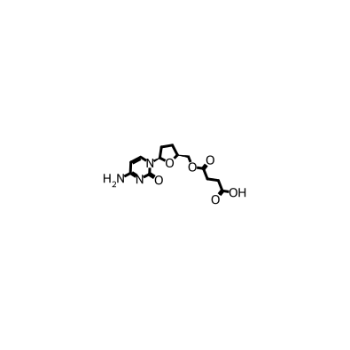 Nc1ccn([C@H]2CC[C@@H](COC(=O)CCC(=O)O)O2)c(=O)n1